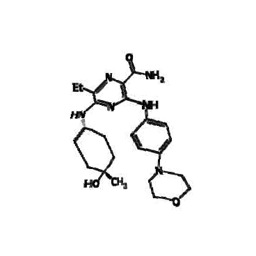 CCc1nc(C(N)=O)c(Nc2ccc(N3CCOCC3)cc2)nc1N[C@H]1CC[C@@](C)(O)CC1